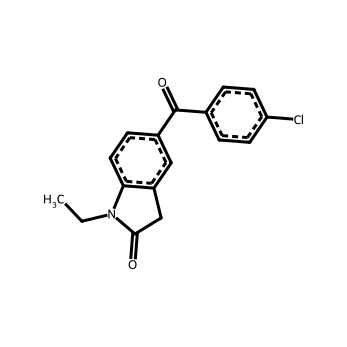 CCN1C(=O)Cc2cc(C(=O)c3ccc(Cl)cc3)ccc21